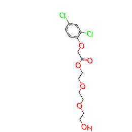 O=C(COc1ccc(Cl)cc1Cl)OCCOCCOCCO